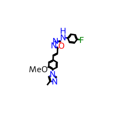 COc1cc(C=Cc2nnc(Nc3ccc(F)cc3)o2)ccc1-n1cnc(C)c1